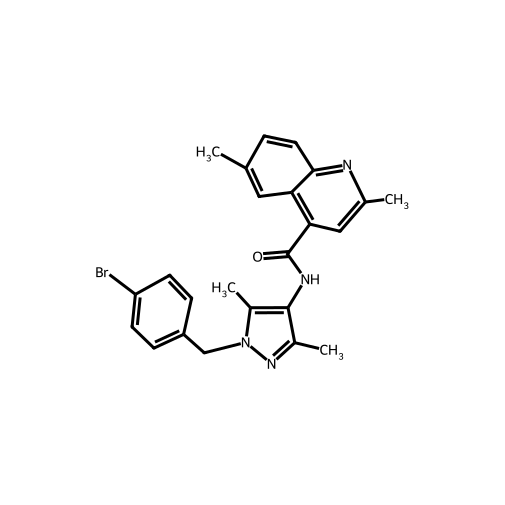 Cc1ccc2nc(C)cc(C(=O)Nc3c(C)nn(Cc4ccc(Br)cc4)c3C)c2c1